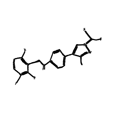 Cc1nn(C(F)F)cc1-c1ccc(NCc2c(F)ccc(F)c2F)cc1